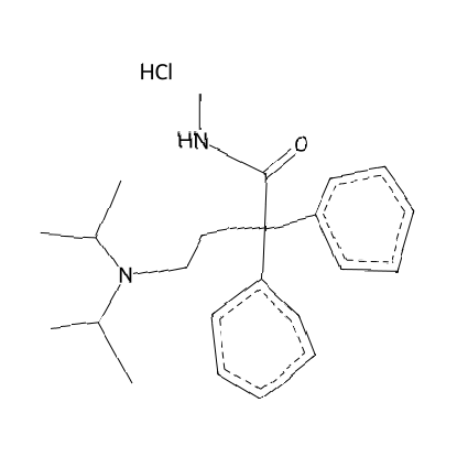 CNC(=O)C(CCN(C(C)C)C(C)C)(c1ccccc1)c1ccccc1.Cl